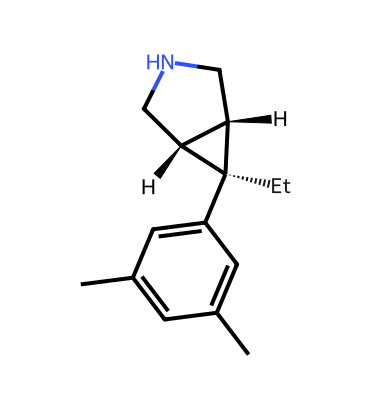 CC[C@]1(c2cc(C)cc(C)c2)[C@@H]2CNC[C@@H]21